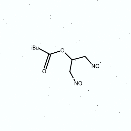 CCC(C)C(=O)OC(CN=O)CN=O